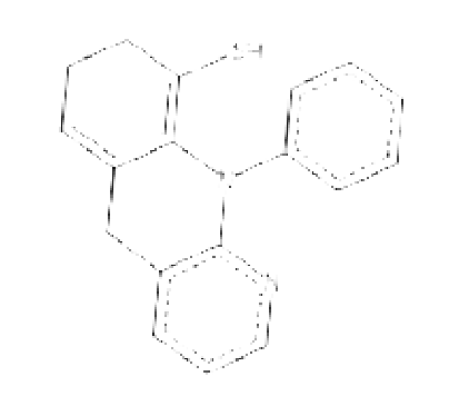 SC1=C2C(=CCC1)Cc1cccnc1N2c1ccccc1